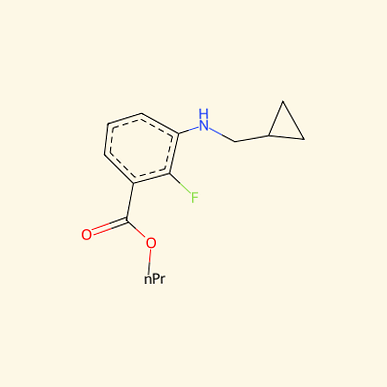 CCCOC(=O)c1cccc(NCC2CC2)c1F